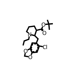 CCCN1CCCC(C(=O)OC(C)(C)C)C1Cc1cc2c(cc1Cl)OCO2